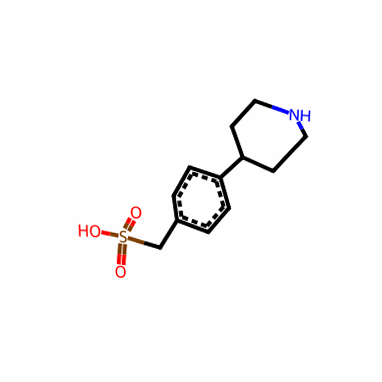 O=S(=O)(O)Cc1ccc(C2CCNCC2)cc1